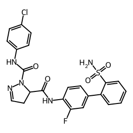 NS(=O)(=O)c1ccccc1-c1ccc(NC(=O)C2CC=NN2C(=O)Nc2ccc(Cl)cc2)c(F)c1